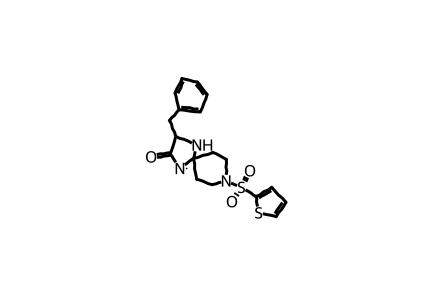 O=C1[N]C2(CCN(S(=O)(=O)c3cccs3)CC2)NC1Cc1ccccc1